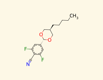 CCCCC[C@H]1CO[C@H](c2cc(F)c(C#N)c(F)c2)OC1